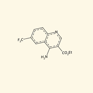 CCOC(=O)c1cnc2ccc(C(F)(F)F)cc2c1N